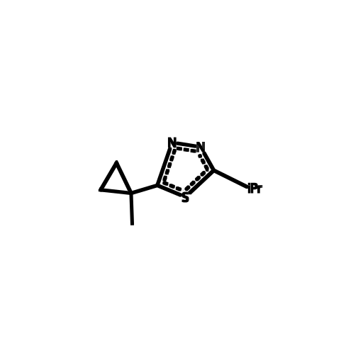 CC(C)c1nnc(C2(C)CC2)s1